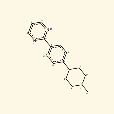 CN1CCC(c2ccc(-c3ncccn3)nc2)CC1